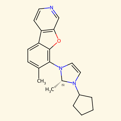 Cc1ccc2c(oc3cnccc32)c1N1C=CN(C2CCCC2)[C@@H]1C